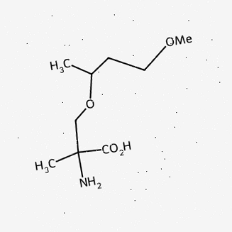 COCCC(C)OCC(C)(N)C(=O)O